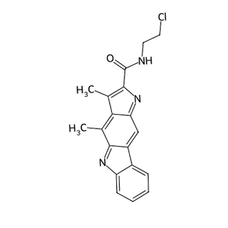 CC1=C(C(=O)NCCCl)N=c2cc3c(c(C)c21)=Nc1ccccc1-3